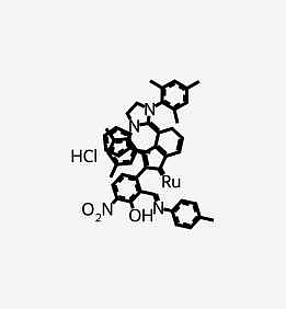 Cc1ccc(N=Cc2c(C3=C(c4ccccc4)C4=C(C=CCC4=C4N(c5c(C)cc(C)cc5C)CCN4c4c(C)cc(C)cc4C)[C]3=[Ru])ccc([N+](=O)[O-])c2O)cc1.Cl